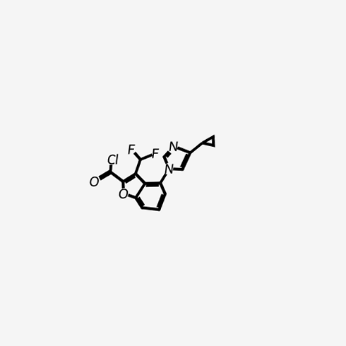 O=C(Cl)c1oc2cccc(-n3cnc(C4CC4)c3)c2c1C(F)F